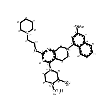 COc1cc(N2CCc3c(nc(OCCN4CCCCC4)nc3N3CCN(C(=O)O)C(C(C)(C)C)C3)C2)c2ccccc2c1